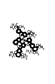 CC(C)(C)c1ccc2c(c1)c1cc(C(C)(C)C)cc3c1n2-c1cc2ccccc2c2c1B3N(c1cccc3c1oc1cc4c(cc13)C(C)(C)CCC4(C)C)c1ccc3c(oc4cc5c(cc43)C(C)(C)CCC5(C)C)c1-2